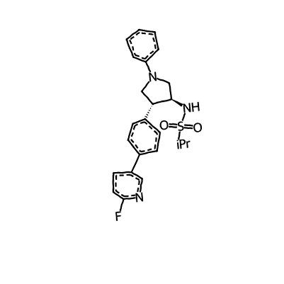 CC(C)S(=O)(=O)N[C@@H]1CN(c2ccccc2)C[C@H]1c1ccc(-c2ccc(F)nc2)cc1